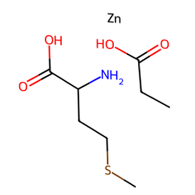 CCC(=O)O.CSCCC(N)C(=O)O.[Zn]